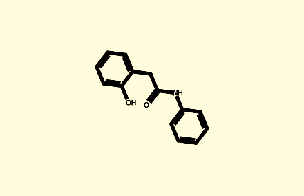 O=C(Cc1ccccc1O)Nc1ccccc1